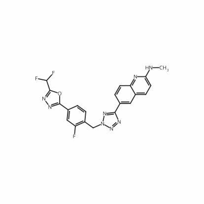 CNc1ccc2cc(-c3nnn(Cc4ccc(-c5nnc(C(F)F)o5)cc4F)n3)ccc2n1